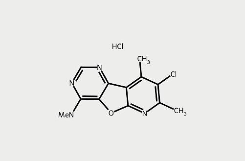 CNc1ncnc2c1oc1nc(C)c(Cl)c(C)c12.Cl